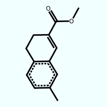 COC(=O)C1=Cc2cc(C)ccc2CC1